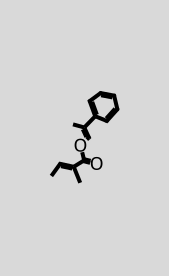 CC=C(C)C(=O)OC=C(C)c1ccccc1